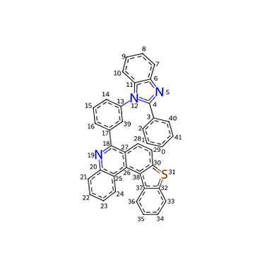 c1ccc(-c2nc3ccccc3n2-c2cccc(-c3nc4ccccc4c4c3ccc3sc5ccccc5c34)c2)cc1